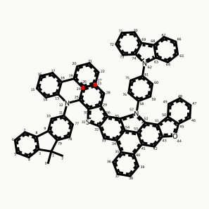 CC1(C)c2ccccc2-c2cc(N(c3ccccc3-c3ccccc3)c3cccc4c3sc3cc5c6ccccc6c6cc7oc8ccccc8c7c7c6c5c(c34)n7-c3ccc(-n4c5ccccc5c5ccccc54)cc3)ccc21